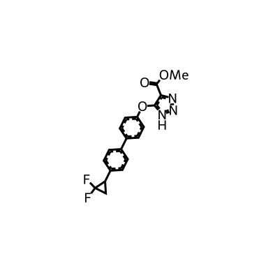 COC(=O)c1nn[nH]c1Oc1ccc(-c2ccc(C3CC3(F)F)cc2)cc1